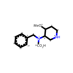 COC1CCNCC1N(Cc1ccccc1)C(=O)O